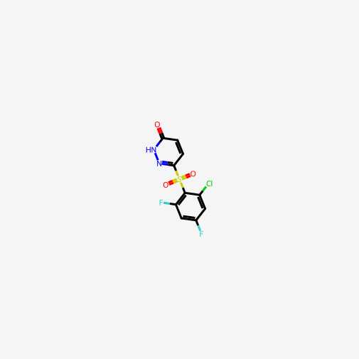 O=c1ccc(S(=O)(=O)c2c(F)cc(F)cc2Cl)n[nH]1